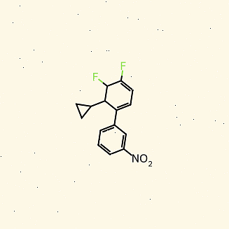 O=[N+]([O-])c1cccc(C2=CC=C(F)C(F)C2C2CC2)c1